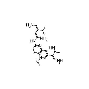 CN/C=C(\C(C)=N)c1cc2nc(N/C(N)=C/C(=C\N)C(C)C)ccc2[n+](OC)c1